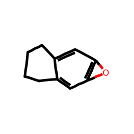 c1c2c(cc3c1O3)CCCC2